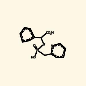 O=C(O)C(OP(=O)(O)Cc1ccccn1)c1ccccc1